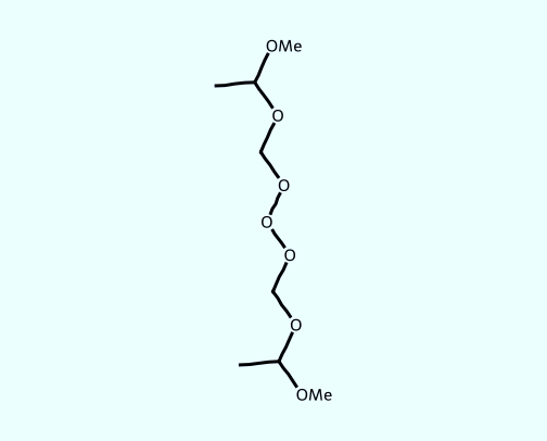 COC(C)OCOOOCOC(C)OC